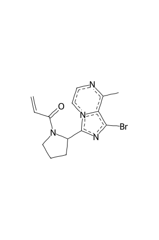 C=CC(=O)N1CCCC1c1nc(Br)c2c(C)nccn12